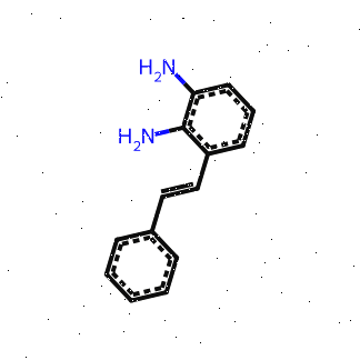 Nc1cccc(/C=C/c2ccccc2)c1N